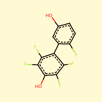 Oc1ccc(F)c(-c2c(F)c(F)c(O)c(F)c2F)c1